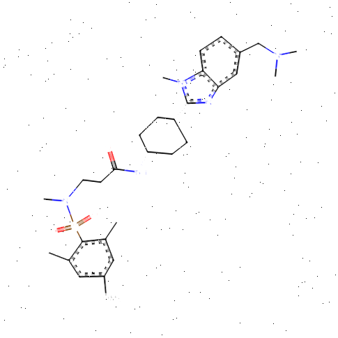 COc1cc(C)c(S(=O)(=O)N(C)CCC(=O)N[C@H]2CC[C@@H](c3nc4cc(CN(C)C)ccc4n3C)CC2)c(C)c1